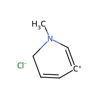 CN1C=[C+]C=CC1.[Cl-]